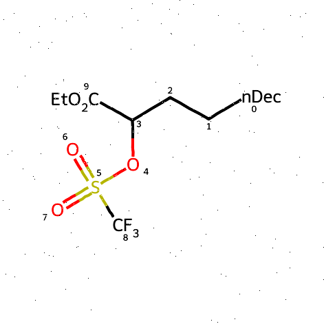 CCCCCCCCCCCCC(OS(=O)(=O)C(F)(F)F)C(=O)OCC